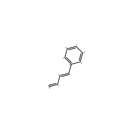 C=[C]C=Cc1ccccc1